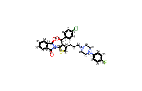 O=C(c1ccc(Cl)cc1)c1c(CCCN2CCN(c3ccc(F)cc3)CC2)csc1N1C(=O)c2ccccc2C1=O